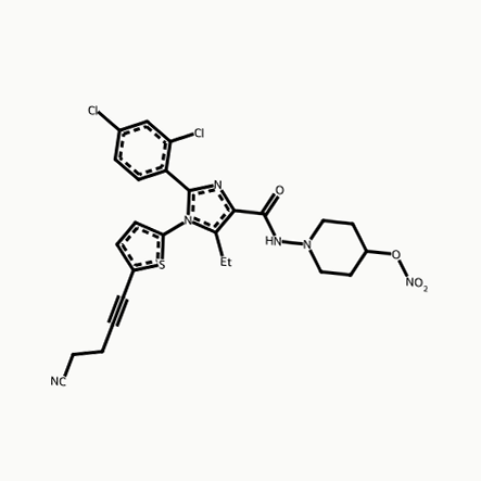 CCc1c(C(=O)NN2CCC(O[N+](=O)[O-])CC2)nc(-c2ccc(Cl)cc2Cl)n1-c1ccc(C#CCCC#N)s1